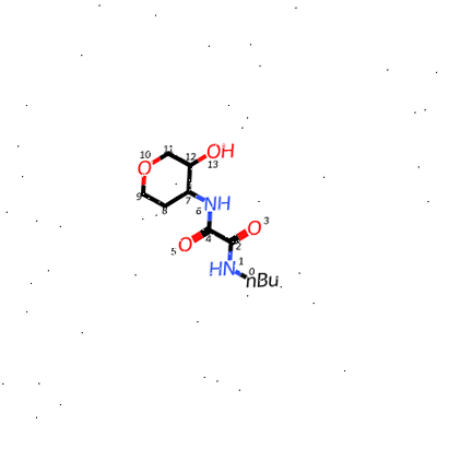 CCCCNC(=O)C(=O)NC1CCOCC1O